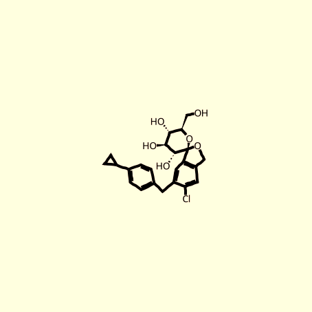 OC[C@H]1O[C@]2(OCc3cc(Cl)c(Cc4ccc(C5CC5)cc4)cc32)[C@H](O)[C@@H](O)[C@@H]1O